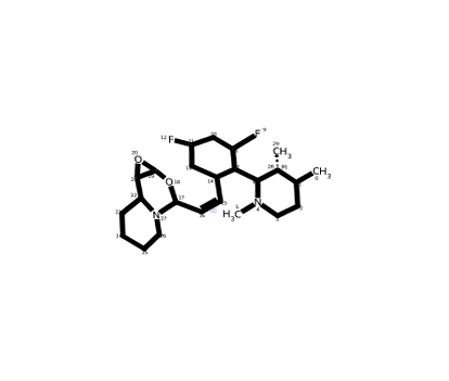 CC1CCN(C)C(C2C(F)CC(F)CC2/C=C\C2OC3OC3C3CCCCN23)[C@@H]1C